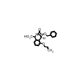 C=CCOc1cccc2c1[C@H]1CN(C(=O)N1OCc1ccccc1)C2C(=O)O